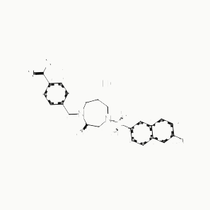 Cl.N=C(N)c1ccc(CN2CCCN(S(=O)(=O)c3ccc4cc(Cl)ccc4c3)CC2=O)cc1